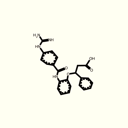 N=C(N)Nc1ccc(C(=O)Nc2ccccc2OC(CC(=O)O)c2ccccc2)cc1